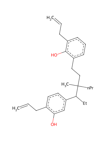 C=CCc1ccc(C(CC)C(C)(CCC)CCc2cccc(CC=C)c2O)cc1O